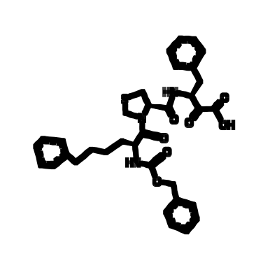 O=C(N[C@@H](CCCCc1ccccc1)C(=O)N1CSC[C@H]1C(=O)N[C@@H](Cc1ccccc1)C(=O)C(=O)O)OCc1ccccc1